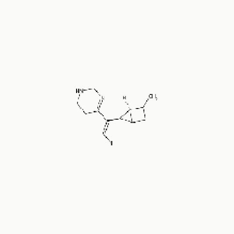 CC1CC2[C@H]1[C@@H]2/C(=C\I)C1=NCNCC1